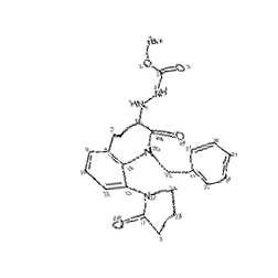 CC(C)(C)OC(=O)NNC1Cc2cccc(N3CCCC3=O)c2N(Cc2ccccc2)C1=O